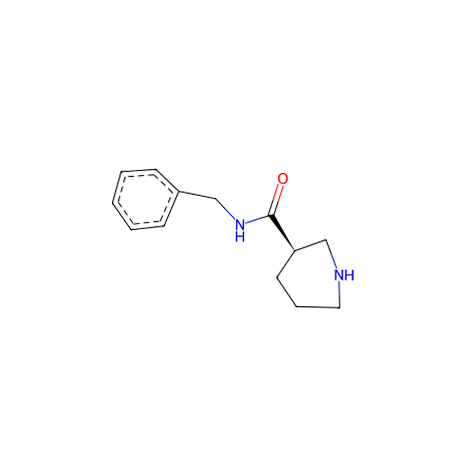 O=C(NCc1ccccc1)[C@@H]1CCCNC1